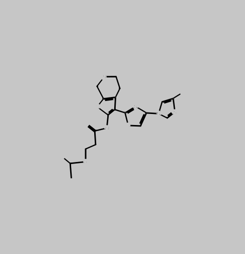 Cc1cn(-c2csc(-c3c(NC(=O)CCNC(C)C)sc4c3CCNC4)n2)cn1